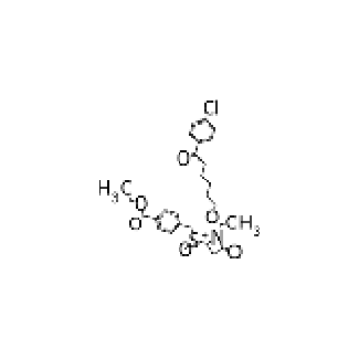 CCOC(=O)c1ccc(C[S+]([O-])C2CC(=O)N2C(C)OCCCCCC(=O)c2ccc(Cl)cc2)cc1